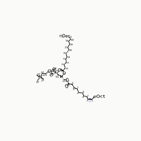 CCCCCCCC/C=C\CCCCCCCC(=O)OC[C@H](COP(=O)([O-])OCC[N+](C)(C)C)OC(=O)CCCCCCCCCCCCCCCCCCCCC